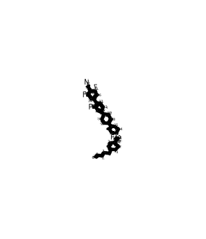 CCCCCc1ccc(C(F)(F)OC2CCC(C3CCC(c4ccc(-c5cc(F)c(C#N)c(F)c5)c(F)c4)CC3)CC2)cc1